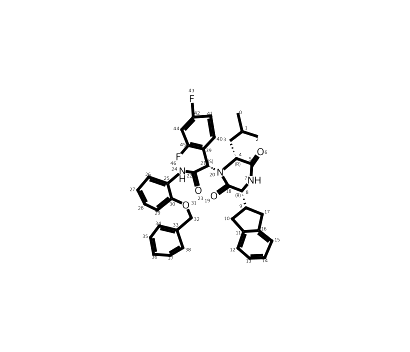 CC(C)C[C@@H]1C(=O)N[C@H](C2Cc3ccccc3C2)C(=O)N1[C@H](C(=O)Nc1ccccc1OCc1ccccc1)c1ccc(F)cc1F